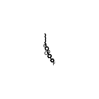 CCCCCCCCO[C@H]1CC[C@H](OC(=O)c2ccc(-c3ccc(F)cc3)cc2)CC1